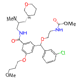 CNC(CNC(=O)c1cc(OCCCOC)cc(C(OCCNC(=O)OC)c2cccc(Cl)c2)c1)C[C@H]1CCCOC1